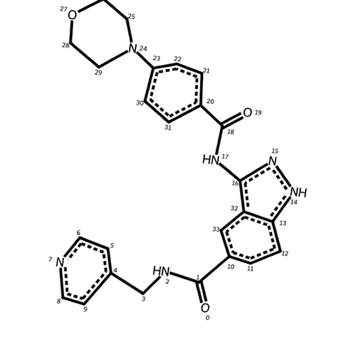 O=C(NCc1ccncc1)c1ccc2[nH]nc(NC(=O)c3ccc(N4CCOCC4)cc3)c2c1